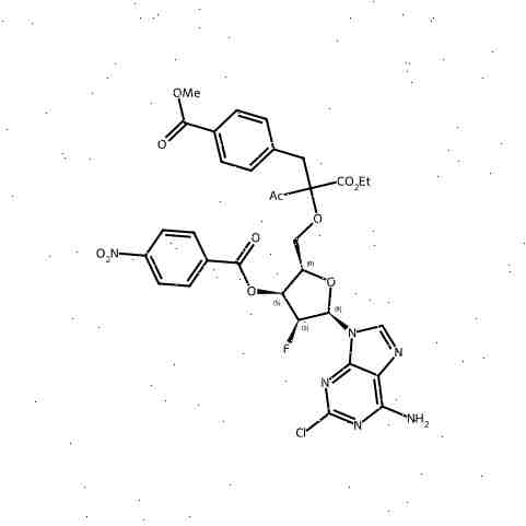 CCOC(=O)C(Cc1ccc(C(=O)OC)cc1)(OC[C@H]1O[C@@H](n2cnc3c(N)nc(Cl)nc32)[C@@H](F)[C@H]1OC(=O)c1ccc([N+](=O)[O-])cc1)C(C)=O